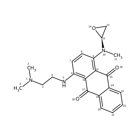 CN(C)CCNc1ccc(N(C)[C@@H]2CO2)c2c1C(=O)c1ccccc1C2=O